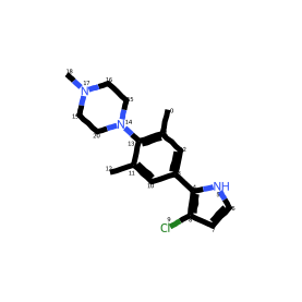 Cc1cc(-c2[nH]ccc2Cl)cc(C)c1N1CCN(C)CC1